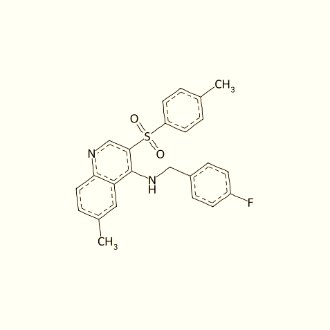 Cc1ccc(S(=O)(=O)c2cnc3ccc(C)cc3c2NCc2ccc(F)cc2)cc1